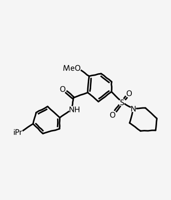 COc1ccc(S(=O)(=O)N2CCCCC2)cc1C(=O)Nc1ccc(C(C)C)cc1